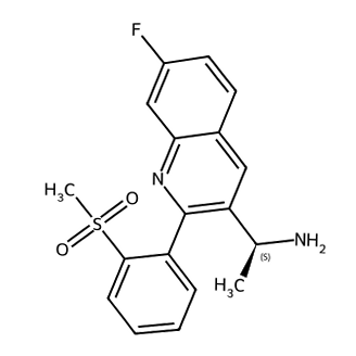 C[C@H](N)c1cc2ccc(F)cc2nc1-c1ccccc1S(C)(=O)=O